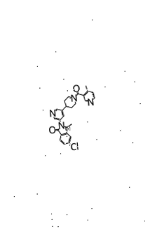 Cc1ccncc1C(=O)N1CCC(c2cncc(N3C(=O)c4ccc(Cl)cc4[C@@H]3C)c2)CC1